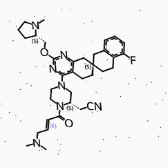 CN(C)C/C=C/C(=O)N1CCN(c2nc(OC[C@@H]3CCCN3C)nc3c2CC[C@@]2(CCc4c(F)cccc4C2)C3)C[C@@H]1CC#N